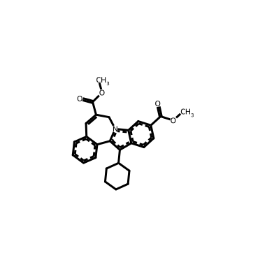 COC(=O)C1=Cc2ccccc2-c2c(C3CCCCC3)c3ccc(C(=O)OC)cc3n2C1